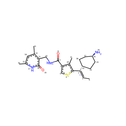 C/C=C(/c1scc(C(=O)NCc2c(C)cc(C)[nH]c2=O)c1C)[C@H]1CC[C@H](N)CC1